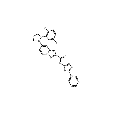 O=C(Nc1nnc(-c2cccnc2)s1)c1cc2cc(N3CCCC3c3cc(F)ccc3F)ccn2n1